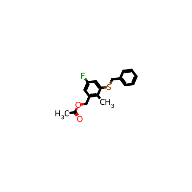 CC(=O)OCc1cc(F)cc(SCc2ccccc2)c1C